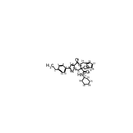 CCc1ccc(-c2cc3n(n2)CC(C)(C(=O)NC2CCCCC2)N(Cc2cccs2)C3=O)cc1